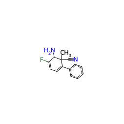 CC1(C#N)C(c2ccccc2)=CC=C(F)C1N